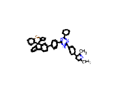 Cc1ccc(-c2ccc(-c3nc(-c4ccccc4)nc(-c4ccc(-c5ccc6c(c5)C5(c7ccccc7Sc7ccccc75)c5ccccc5-6)cc4)n3)cc2)c(C)n1